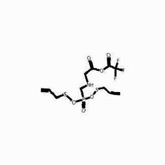 C=CCSOP(=O)(CNCC(=O)OC(=O)C(F)(F)F)OSCC=C